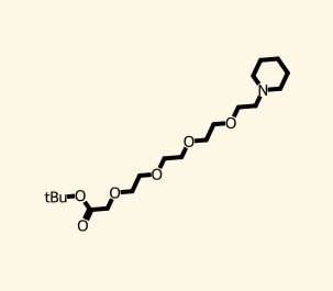 CC(C)(C)OC(=O)COCCOCCOCCOCCN1CCCCC1